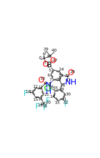 CC1(C)OB(c2cc(NC(=O)c3cc(F)cc(C(F)(F)F)c3)c3c(c2)C(=O)NC3c2cc(F)ccc2Cl)OC1(C)C